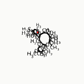 CC[C@H]1OC(=O)[C@H](C)[C@@H](O[C@H]2C[C@@](C)(OC)[C@@H](O)[C@H](C)O2)[C@H](C)[C@@H](O[C@@H]2O[C@H](C)C[C@H](N(C)C)[C@H]2O)[C@](C)(OC)C[C@@H](C)C(=O)C(C)[C@@H](O)[C@]1(C)O